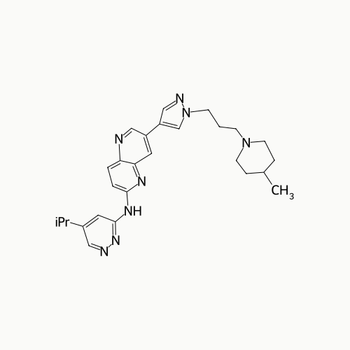 CC1CCN(CCCn2cc(-c3cnc4ccc(Nc5cc(C(C)C)cnn5)nc4c3)cn2)CC1